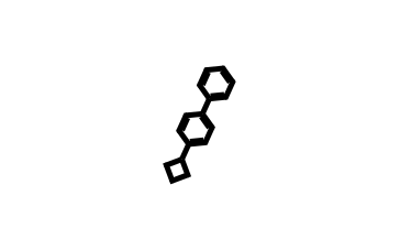 c1ccc(-c2ccc(C3CCC3)cc2)cc1